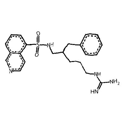 N=C(N)NCCCC(CNS(=O)(=O)c1cccc2cnccc12)Cc1ccccc1